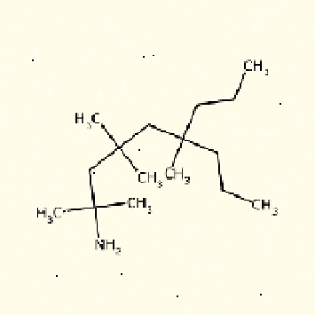 CCCC(C)(CCC)CC(C)(C)CC(C)(C)N